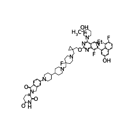 CCc1c(F)ccc2cc(O)cc(-c3ncc4c(N5CCC[C@@](C)(O)C5)nc(OCC5(CN6CCC(F)(CN7CCC(C8CCN(c9ccc%10c(c9)CN([C@H]9CCC(=O)NC9=O)C%10=O)CC8)CC7)CC6)CC5)nc4c3F)c12